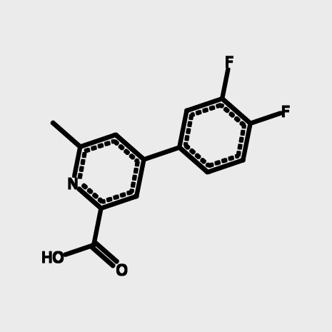 Cc1cc(-c2ccc(F)c(F)c2)cc(C(=O)O)n1